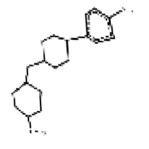 CCCCCCCC1CCC(CC2CCC(c3ccc(N)cc3)CC2)CC1